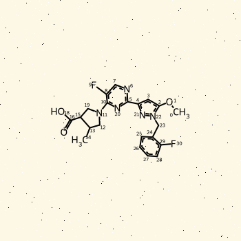 COc1cc(-c2ncc(F)c(N3CC(C)C(C(=O)O)C3)n2)nn1Cc1ccccc1F